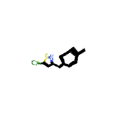 Cc1ccc(Cc2cc(Cl)sn2)cc1